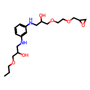 CCCOCC(O)CNc1cccc(NCC(O)COCCOCC2CO2)c1